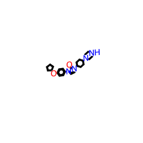 O=c1n(-c2ccc(OC3CCCC3)cc2)ccn1C1CCC(N2CCNCC2)CC1